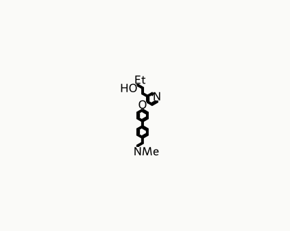 CCC(O)CCc1cnccc1Oc1ccc(-c2ccc(CCNC)cc2)cc1